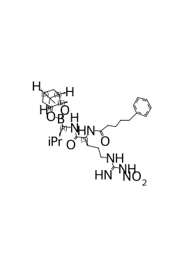 CC(C)C[C@H](NC(=O)[C@H](CCCNC(=N)N[N+](=O)[O-])NC(=O)CCCCc1ccccc1)B1O[C@@H]2C[C@@H]3C[C@@H](C3(C)C)[C@]2(C)O1